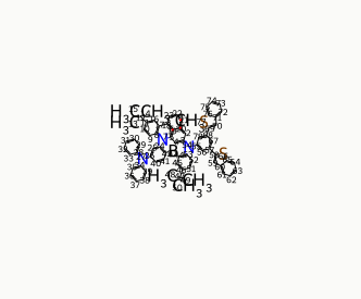 Cc1cc2c3c(c1)N(c1ccc(C(C)(C)C)cc1-c1ccccc1)c1cc(N(c4ccccc4)c4ccccc4)ccc1B3c1cc(C(C)(C)C)ccc1N2c1cc(-c2cc3ccccc3s2)cc(-c2cc3ccccc3s2)c1